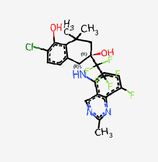 Cc1ncc2c(N[C@@H]3c4ccc(Cl)c(O)c4C(C)(C)C[C@]3(O)C(F)(F)C(F)(F)F)ccc(F)c2n1